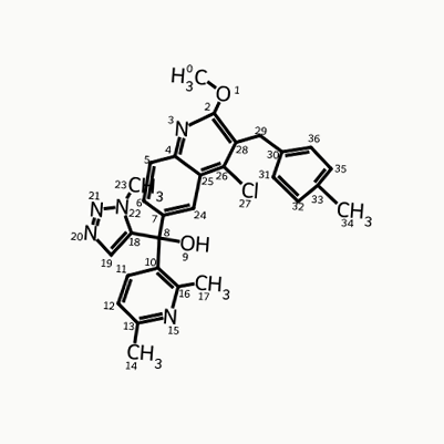 COc1nc2ccc(C(O)(c3ccc(C)nc3C)c3cnnn3C)cc2c(Cl)c1Cc1ccc(C)cc1